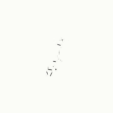 CC(C)(C)OC(=O)NCCC[C@@H](N)C(=O)OS(=O)(=O)c1ccc(F)cc1Cl